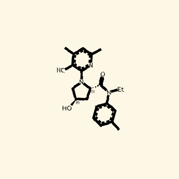 CCN(C(=O)[C@@H]1C[C@@H](O)CN1c1nc(C)cc(C)c1C#N)c1cccc(C)c1